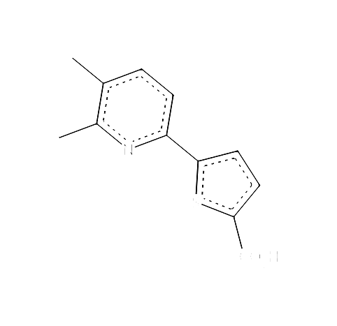 Cc1ccc(-c2ccc(C(=O)O)s2)nc1C